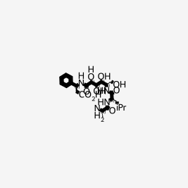 CC(C)C[C@H](NC(=O)[C@H](C)N)C(=O)N[C@@H](CO)[C@@H](O)[C@@H](O)[C@H](O)C(=O)N[C@@H](CC(=O)O)c1ccccc1